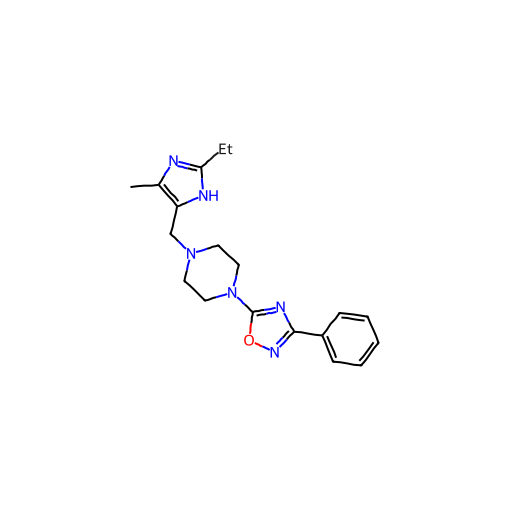 CCc1nc(C)c(CN2CCN(c3nc(-c4ccccc4)no3)CC2)[nH]1